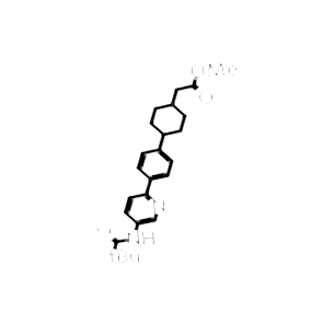 COC(=O)CC1CCC(c2ccc(-c3ccc(NC(=O)C(C)(C)C)cn3)cc2)CC1